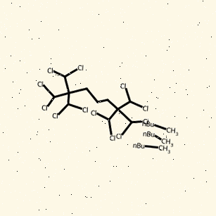 CCCCC.CCCCC.CCCCC.ClC(Cl)C(CCCC(C(Cl)Cl)(C(Cl)Cl)C(Cl)Cl)(C(Cl)Cl)C(Cl)Cl